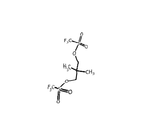 CC(C)(COS(=O)(=O)C(F)(F)F)COS(=O)(=O)C(F)(F)F